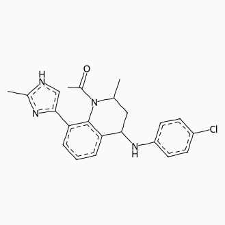 CC(=O)N1c2c(-c3c[nH]c(C)n3)cccc2C(Nc2ccc(Cl)cc2)CC1C